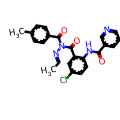 CC=NN(C(=O)c1ccc(C)cc1)C(=O)c1cc(Cl)ccc1NC(=O)c1cccnc1